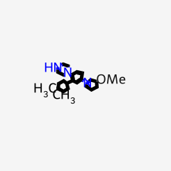 COC1CCCN(c2ccc(N3CCNCC3)c(C3CCC(C)(C)CC3)c2)C1